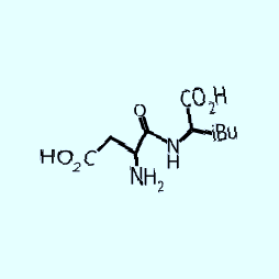 CCC(C)C(NC(=O)C(N)CC(=O)O)C(=O)O